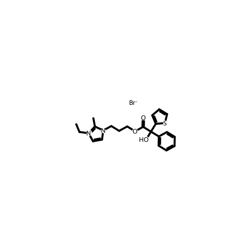 CC[n+]1ccn(CCCOC(=O)C(O)(c2ccccc2)c2cccs2)c1C.[Br-]